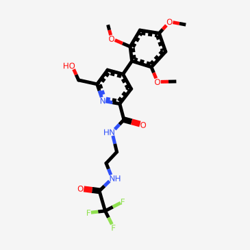 COc1cc(OC)c(-c2cc(CO)nc(C(=O)NCCNC(=O)C(F)(F)F)c2)c(OC)c1